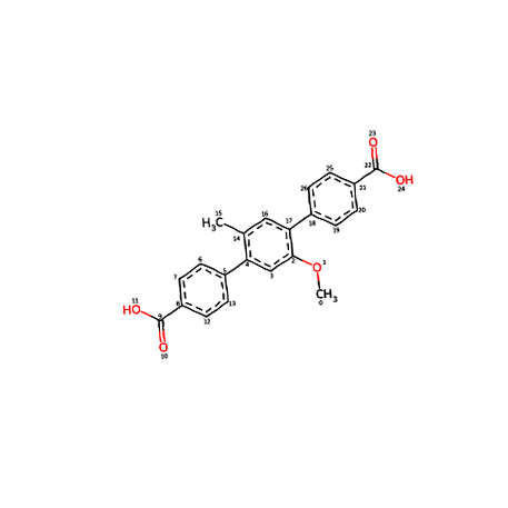 COc1cc(-c2ccc(C(=O)O)cc2)c(C)cc1-c1ccc(C(=O)O)cc1